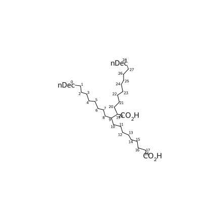 CCCCCCCCCCCCCCCCCCC(CCCCCCCCC(=O)O)C(CCCCCCCCCCCCCCCCCC)C(=O)O